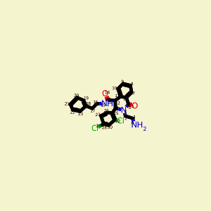 NCCN1C(=O)c2ccccc2C(C(=O)NCCc2ccccc2)C1c1ccc(Cl)cc1Cl